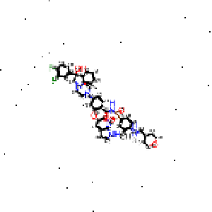 Cc1cc(S(=O)(=O)NC(=O)c2ccc(N3CCN(CC(O)(c4ccccc4)c4ccc(F)c(F)c4)CC3)cc2Oc2cnc3[nH]ccc3c2)ccc1NCC1CCOCC1